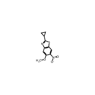 COc1cc2nc(C3CC3)sc2cc1[N+](=O)[O-]